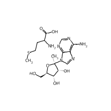 CSCCC(N)C(=O)O.C[C@@]1(n2cnc3c(N)ncnc32)O[C@H](CO)[C@@H](O)[C@H]1O